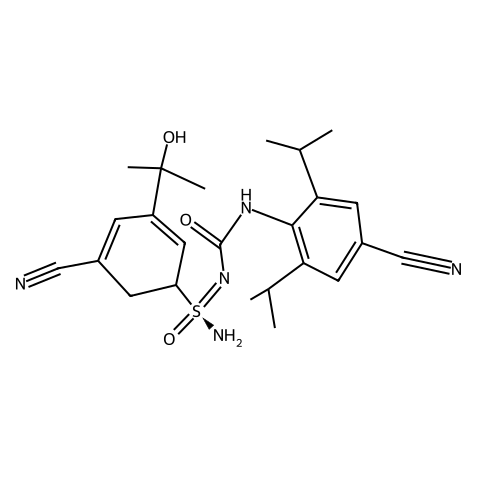 CC(C)c1cc(C#N)cc(C(C)C)c1NC(=O)N=[S@](N)(=O)C1C=C(C(C)(C)O)C=C(C#N)C1